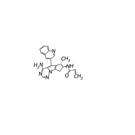 C=CC(=O)N[C@H]1Cc2c(c(-c3cnc4ccccc4c3)c3c(N)ncnn23)[C@@H]1C